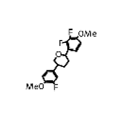 COc1ccc(C2CCC(c3ccc(OC)c(F)c3F)OC2)cc1F